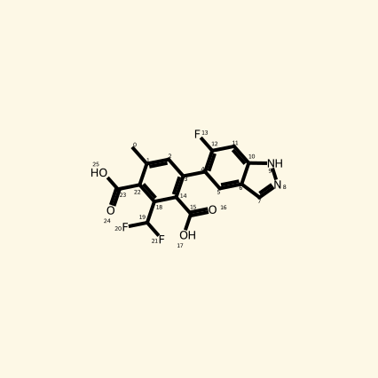 Cc1cc(-c2cc3cn[nH]c3cc2F)c(C(=O)O)c(C(F)F)c1C(=O)O